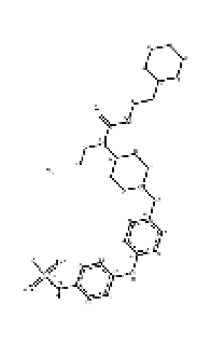 CCN(C(=O)NCCC1CCCCC1)C1CCN(Cc2ccc(Oc3ccc(NS(C)(=O)=O)cc3)cc2)CC1.Cl